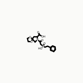 O=C(O)C1CC2(CN1C(=O)CP(=O)(O)CCc1ccccc1)OCCO2